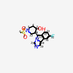 CS(=O)(=O)N1CC[C@H](O)[C@@H](C2c3ccc(F)cc3-c3cncn32)C1